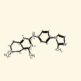 Cc1nccn1-c1ccc(Nc2nc(O)c3c(n2)CCN(C)C3)cc1